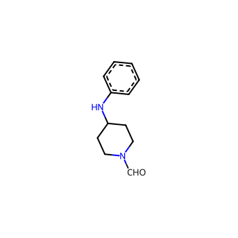 O=CN1CCC(Nc2ccccc2)CC1